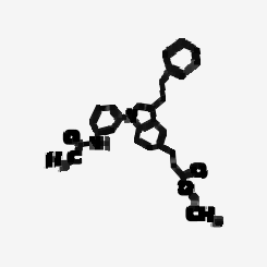 CCOC(=O)CCc1ccc2c(c1)c(CCc1ccccc1)cn2-c1cccc(NC(C)=O)c1